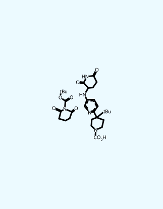 CC(C)(C)C1(c2ccc(NC3CCC(=O)NC3=O)cn2)CCN(C(=O)O)CC1.CC(C)(C)OC(=O)N1C(=O)CCCC1=O